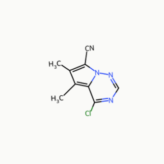 Cc1c(C)c2c(Cl)ncnn2c1C#N